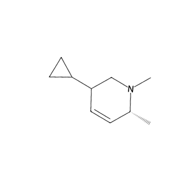 C[C@@H]1C=CC(C2CC2)CN1C